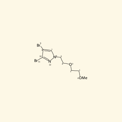 COCCOCCn1cc(Br)c(Br)n1